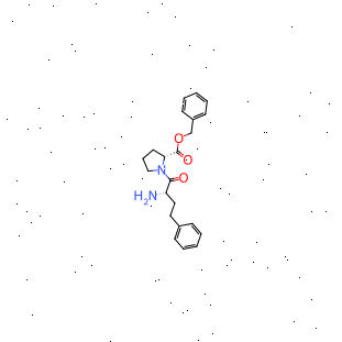 N[C@@H](CCc1ccccc1)C(=O)N1CCC[C@@H]1C(=O)OCc1ccccc1